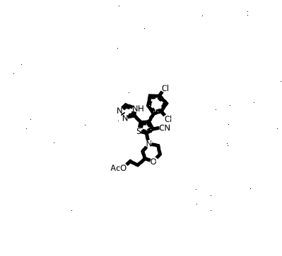 CC(=O)OCCC1CN(c2sc(-c3nnc[nH]3)c(-c3ccc(Cl)cc3Cl)c2C#N)CCO1